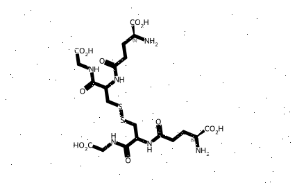 N[C@@H](CCC(=O)NC(CSSCC(NC(=O)CC[C@H](N)C(=O)O)C(=O)NCC(=O)O)C(=O)NCC(=O)O)C(=O)O